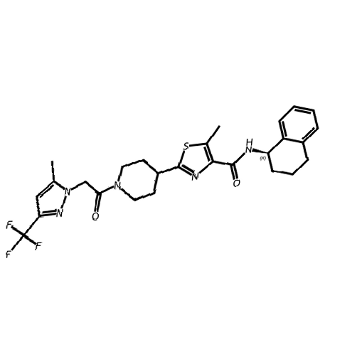 Cc1sc(C2CCN(C(=O)Cn3nc(C(F)(F)F)cc3C)CC2)nc1C(=O)N[C@@H]1CCCc2ccccc21